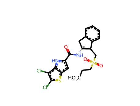 O=C(O)CCS(=O)(=O)CC1c2ccccc2C[C@H]1NC(=O)c1cc2sc(Cl)c(Cl)c2[nH]1